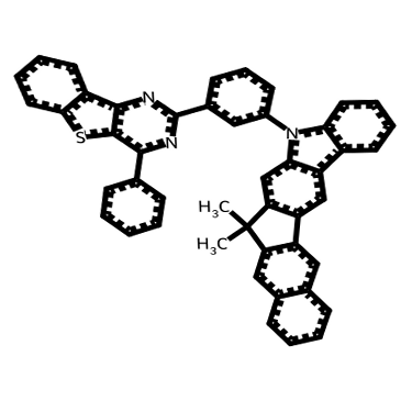 CC1(C)c2cc3ccccc3cc2-c2cc3c4ccccc4n(-c4cccc(-c5nc(-c6ccccc6)c6sc7ccccc7c6n5)c4)c3cc21